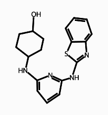 OC1CCC(Nc2cccc(Nc3nc4ccccc4s3)n2)CC1